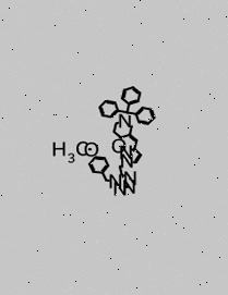 COc1ccc(Cn2nnnc2Cn2ccc(C=C3CN(C(c4ccccc4)(c4ccccc4)c4ccccc4)CCC3=O)n2)cc1